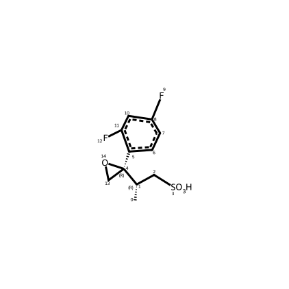 C[C@@H](CS(=O)(=O)O)[C@@]1(c2ccc(F)cc2F)CO1